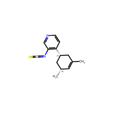 CC1=C[C@H](C)C[C@H](c2ccncc2N=C=S)C1